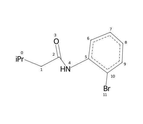 CC(C)CC(=O)Nc1ccccc1Br